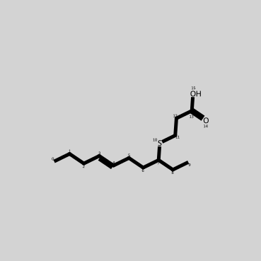 CCCC=CCCC(CC)SCCC(=O)O